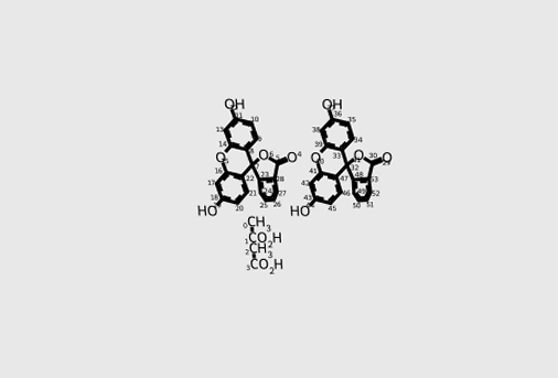 CC(=O)O.CC(=O)O.O=C1OC2(c3ccc(O)cc3Oc3cc(O)ccc32)c2ccccc21.O=C1OC2(c3ccc(O)cc3Oc3cc(O)ccc32)c2ccccc21